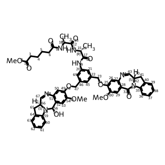 COC(=O)CCCCC(=O)N[C@@H](C)C(=O)N[C@H](C)C(=O)Nc1cc(COc2cc3c(cc2OC)C(=O)N2c4ccccc4C[C@H]2C=N3)cc(COc2cc3c(cc2OC)C(O)N2c4ccccc4C[C@H]2C=N3)c1